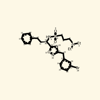 CCN(CC)CCCS(=O)(=O)N[C@H](CCc1ccccc1)c1nc(Cc2cccc(Br)c2)no1